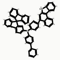 c1ccc(-c2ccc(N(c3ccc(-c4cc5[nH]c6ccccc6c5c5ccccc45)cc3)c3ccc4c(c3)C3(c5ccccc5-c5ccccc53)c3ccccc3-4)cc2)cc1